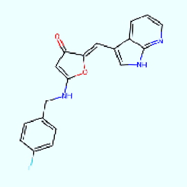 O=C1C=C(NCc2ccc(F)cc2)OC1=Cc1c[nH]c2ncccc12